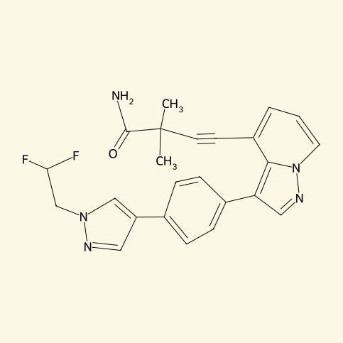 CC(C)(C#Cc1cccn2ncc(-c3ccc(-c4cnn(CC(F)F)c4)cc3)c12)C(N)=O